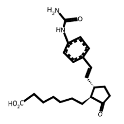 NC(=O)Nc1ccc(C=C[C@@H]2CCC(=O)[C@H]2CCCCCCC(=O)O)cc1